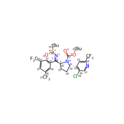 CC(C)(C)OC(=O)N1[C@H](/C(=N/[S@@+]([O-])C(C)(C)C)c2cc(C(F)(F)F)cc(C(F)(F)F)c2)CC[C@H]1c1cc(C(F)(F)F)ncc1Cl